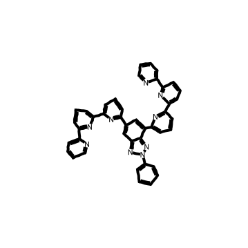 c1ccc(-n2nc3cc(-c4cccc(-c5cccc(-c6ccccn6)n5)n4)cc(-c4cccc(-c5cccc(-c6ccccn6)n5)n4)c3n2)cc1